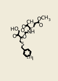 COC(=O)CC[C@H](NC(=O)O[C@@H](CSCc1ccc([131I])cc1)C(=O)CO)C(C)=O